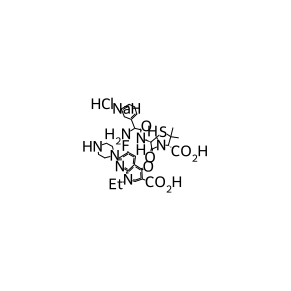 CC1(C)S[C@@H]2[C@H](NC(=O)C(N)C3=CCC=CC3)C(=O)N2[C@H]1C(=O)O.CCn1cc(C(=O)O)c(=O)c2cc(F)c(N3CCNCC3)nc21.Cl.[NaH]